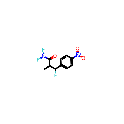 CC(C(=O)N(F)F)C(F)c1ccc([N+](=O)[O-])cc1